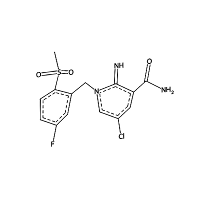 CS(=O)(=O)c1ccc(F)cc1Cn1cc(Cl)cc(C(N)=O)c1=N